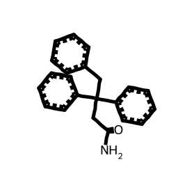 NC(=O)CC(Cc1ccccc1)(c1ccccc1)c1ccccc1